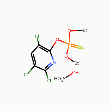 CCOP(=S)(OCC)Oc1nc(Cl)c(Cl)cc1Cl.O=S(=O)(O)O